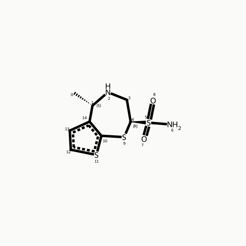 C[C@@H]1NC[C@@H](S(N)(=O)=O)Sc2sccc21